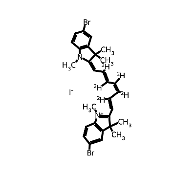 [2H]C(=CC1=[N+](C)c2ccc(Br)cc2C1(C)C)C([2H])=C([2H])C([2H])=C([2H])C=C1N(C)c2ccc(Br)cc2C1(C)C.[I-]